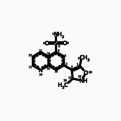 CC1=C(c2cc(S(N)(=O)=O)c3cccnc3c2)C(C)NO1